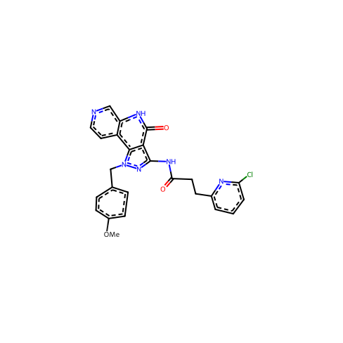 COc1ccc(Cn2nc(NC(=O)CCc3cccc(Cl)n3)c3c(=O)[nH]c4cnccc4c32)cc1